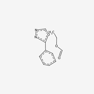 CCOC=O.c1ccc(-c2nnco2)cc1